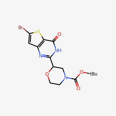 CC(C)(C)OC(=O)N1CCOC(c2nc3cc(Br)sc3c(=O)[nH]2)C1